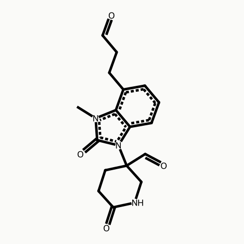 Cn1c(=O)n(C2(C=O)CCC(=O)NC2)c2cccc(CCC=O)c21